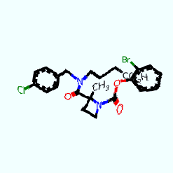 CC1(C(=O)N(CCCC(=O)O)Cc2ccc(Cl)cc2)CCN1C(=O)Oc1ccccc1Br